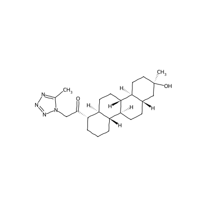 Cc1nnnn1CC(=O)[C@H]1CCC[C@H]2[C@@H]3CC[C@H]4C[C@](C)(O)CC[C@@H]4[C@H]3CC[C@@H]21